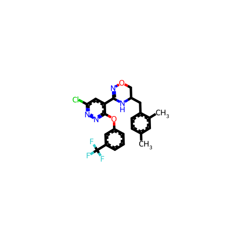 Cc1ccc(CC2CON=C(c3cc(Cl)nnc3Oc3cccc(C(F)(F)F)c3)N2)c(C)c1